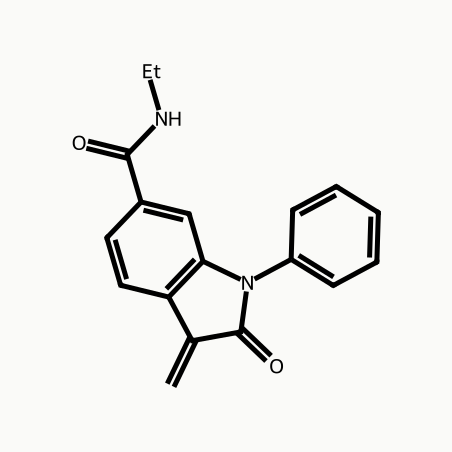 C=C1C(=O)N(c2ccccc2)c2cc(C(=O)NCC)ccc21